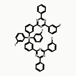 Fc1cccc(-c2nc(-c3ccccc3)nc(-c3cccc([Si](c4cccc(F)c4)(c4cccc(F)c4)c4cccc(-c5nc(-c6ccccc6)nc(-c6cccc(F)c6)n5)c4)c3)n2)c1